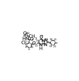 CC1(NC(=O)c2c(Cl)cccc2OCc2cc(=O)n3nc(-c4ccccc4)nc3[nH]2)COC1